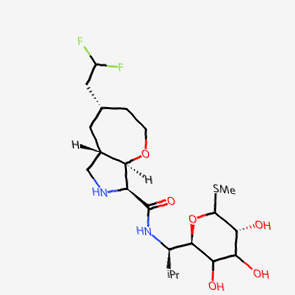 CSC1O[C@H]([C@H](NC(=O)[C@H]2NC[C@@H]3C[C@H](CC(F)F)CCO[C@H]32)C(C)C)C(O)C(O)[C@H]1O